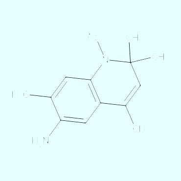 CC(=O)N1c2cc(C)c(N)cc2C(C)=CC1(C)C